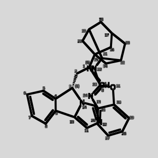 O[C@@H](C[C@H]1c2ccccc2-c2cncn21)C12CC3CC(C1)C(Nc1nc4ccccc4o1)C(C3)C2